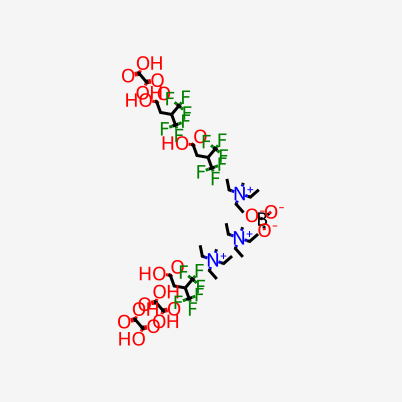 CC[N+](C)(CC)CC.CC[N+](C)(CC)CC.CC[N+](C)(CC)CC.O=C(O)C(=O)O.O=C(O)C(=O)O.O=C(O)C(=O)O.O=C(O)CC(C(F)(F)F)C(F)(F)F.O=C(O)CC(C(F)(F)F)C(F)(F)F.O=C(O)CC(C(F)(F)F)C(F)(F)F.[O-]B([O-])[O-]